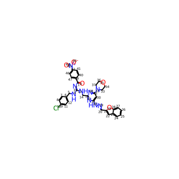 O=C(/N=C(/NCc1ccc(Cl)cc1)NCc1nc(N/N=C/c2cc3ccccc3o2)cc(N2CCOCC2)n1)c1ccc([N+](=O)[O-])cc1